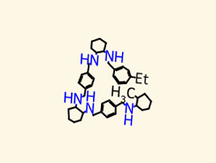 CCC1=CC=C(CNC2CCCCC2NCc2ccc(CNC3CCCCC3NCc3ccc(CNC4CCCCC4C)cc3)cc2)C=C=C1